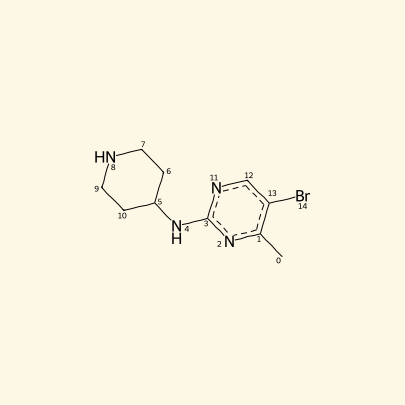 Cc1nc(NC2CCNCC2)ncc1Br